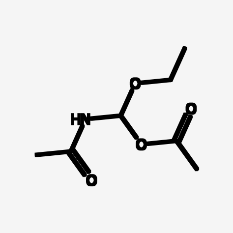 CCOC(NC(C)=O)OC(C)=O